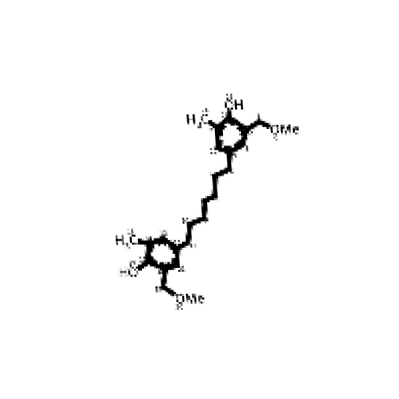 COCc1cc(CCCCCCCc2cc(C)c(O)c(COC)c2)cc(C)c1O